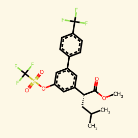 COC(=O)[C@H](CC(C)C)c1cc(OS(=O)(=O)C(F)(F)F)cc(-c2ccc(C(F)(F)F)cc2)c1